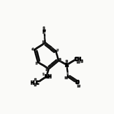 CNc1ccc(F)cc1N(C)C=O